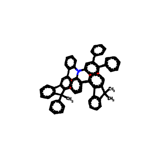 CC1(C)c2ccccc2-c2c(-c3ccccc3N(c3ccc(-c4ccccc4)c(-c4ccccc4)c3)c3ccccc3-c3ccc4c(c3)-c3ccccc3C4(C)c3ccccc3)cccc21